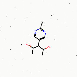 CC(O)C(c1cnc(C(F)(F)F)nc1)C(C)O